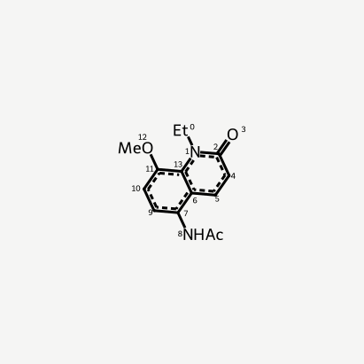 CCn1c(=O)ccc2c(NC(C)=O)ccc(OC)c21